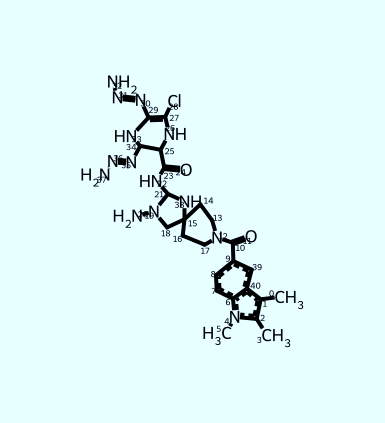 Cc1c(C)n(C)c2ccc(C(=O)N3CCC4(CC3)CN(N)C(NC(=O)C3NC(Cl)=C(N=NN)NC3N=NN)N4)cc12